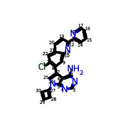 Nc1ncnc2c1c(-c1cc3nc(-c4ccccn4)ccc3cc1Cl)cn2C1=CC=C1